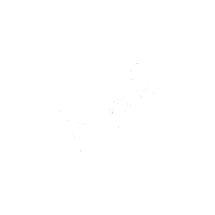 c1ccc(-n2c3ccccc3c3cc4c5cccc6c5n(c4cc32)-c2ccccc2N6c2cccc3c2sc2ccccc23)cc1